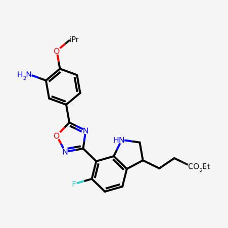 CCOC(=O)CCC1CNc2c1ccc(F)c2-c1noc(-c2ccc(OC(C)C)c(N)c2)n1